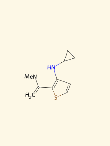 C=C(NC)c1sccc1NC1CC1